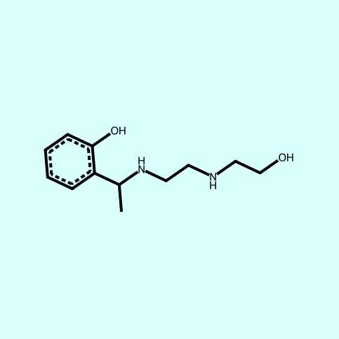 CC(NCCNCCO)c1ccccc1O